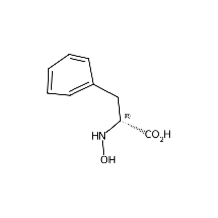 O=C(O)[C@@H](Cc1ccccc1)NO